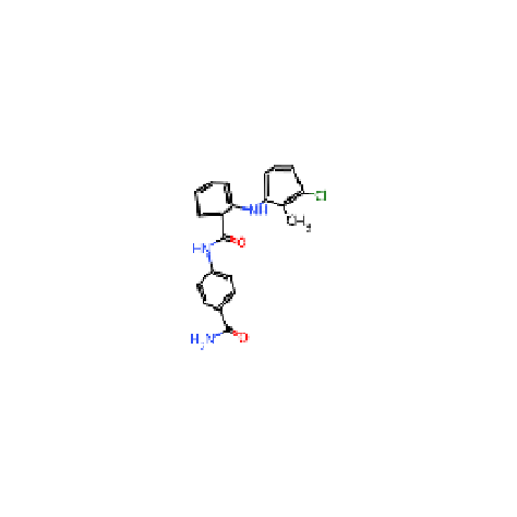 Cc1c(Cl)cccc1Nc1ccccc1C(=O)Nc1ccc(C(N)=O)cc1